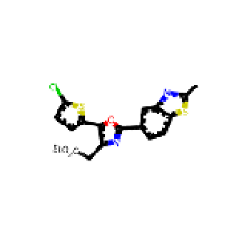 CCOC(=O)Cc1nc(-c2ccc3sc(C)nc3c2)oc1-c1ccc(Cl)s1